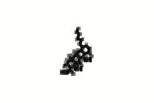 CCCCCCC1CCC(C)C2C(O)C3C(C)C4(C)C(O)C(C(C)O)C(C)CC4(C)CC3(C)CC12